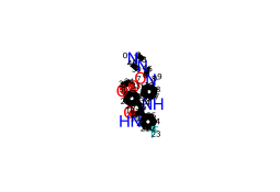 CN1CCN(CC(=O)N(C)c2ccc(NC(=C3C(=O)Nc4cc(F)ccc43)c3ccc4c(c3)OC=CO4)cc2)CC1